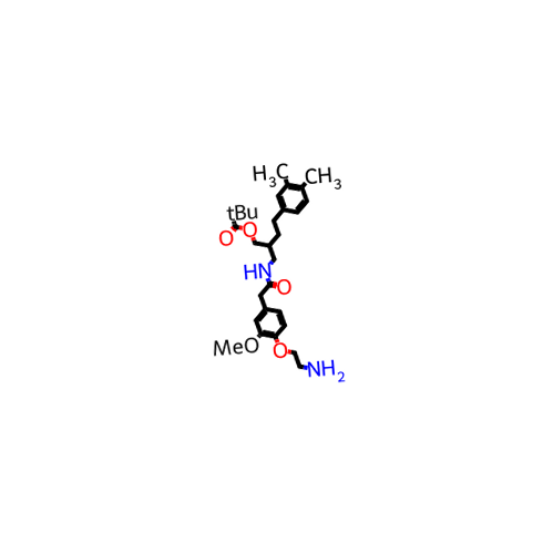 COc1cc(CC(=O)NCC(CCc2ccc(C)c(C)c2)COC(=O)C(C)(C)C)ccc1OCCN